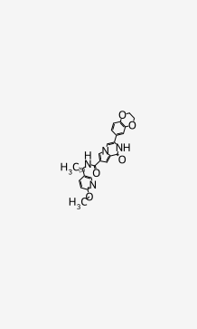 COc1ccc([C@H](C)NC(=O)c2cc3c(=O)[nH]c(-c4ccc5c(c4)OCCO5)cn3c2)cn1